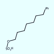 CC(C)CCCCCCCOS(=O)(=O)O